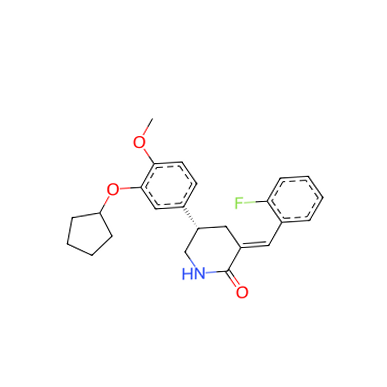 COc1ccc([C@H]2CNC(=O)C(=Cc3ccccc3F)C2)cc1OC1CCCC1